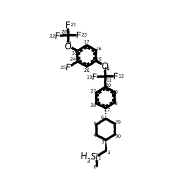 C[SiH2]C[C@H]1CC[C@H](c2ccc(C(F)(F)Oc3ccc(OC(F)(F)F)c(F)c3)cc2)CC1